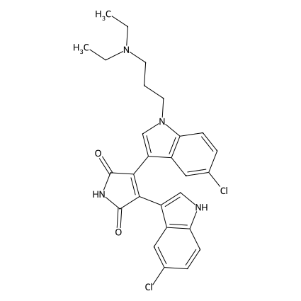 CCN(CC)CCCn1cc(C2=C(c3c[nH]c4ccc(Cl)cc34)C(=O)NC2=O)c2cc(Cl)ccc21